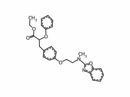 CCOC(=O)C(Cc1ccc(OCCN(C)c2nc3ccccc3o2)cc1)Oc1ccccc1